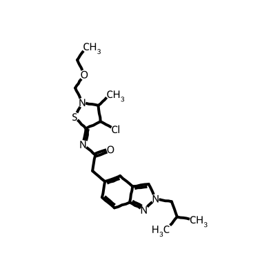 CCOCN1SC(=NC(=O)Cc2ccc3nn(CC(C)C)cc3c2)C(Cl)C1C